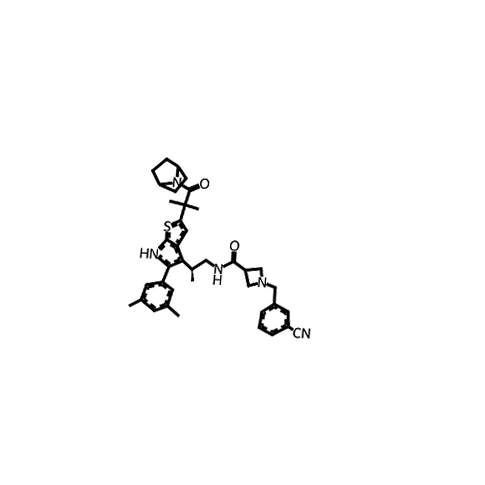 Cc1cc(C)cc(-c2[nH]c3sc(C(C)(C)C(=O)N4C5CCC4CC5)cc3c2[C@H](C)CNC(=O)C2CN(Cc3cccc(C#N)c3)C2)c1